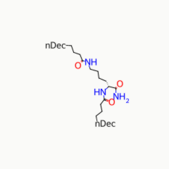 CCCCCCCCCCCCCC(=O)NCCCC[C@@H](NC(=O)CCCCCCCCCCCCC)C(N)=O